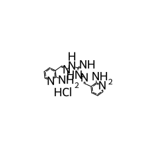 Cl.N=C(NN=Cc1cccnc1N)NN=Cc1cccnc1N